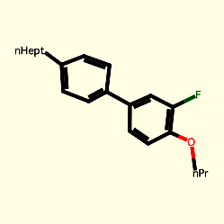 CCCCCCCc1ccc(-c2ccc(OCCC)c(F)c2)cc1